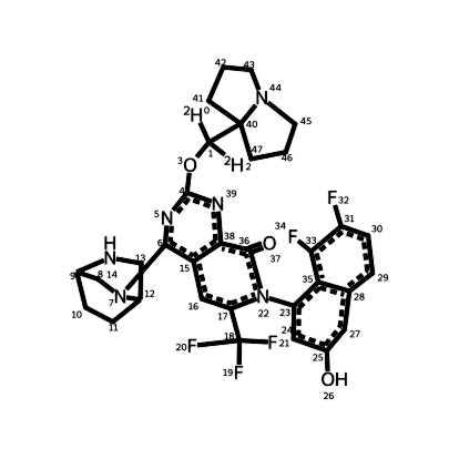 [2H]C([2H])(Oc1nc(N2CC3CCC2CN3)c2cc(C(F)(F)F)n(-c3cc(O)cc4ccc(F)c(F)c34)c(=O)c2n1)C12CCCN1CCC2